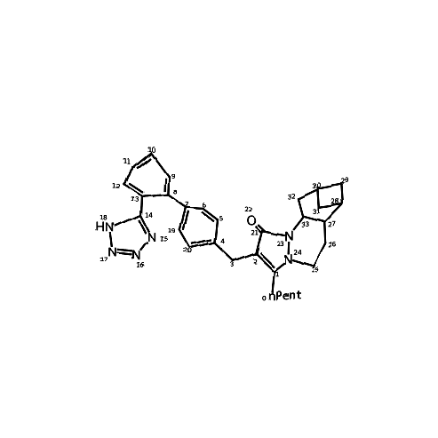 CCCCCc1c(Cc2ccc(-c3ccccc3-c3nnn[nH]3)cc2)c(=O)n2n1CCC1C3CC(C3)CC12